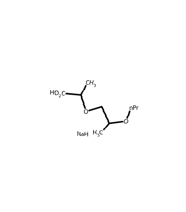 CCCOC(C)COC(C)C(=O)O.[NaH]